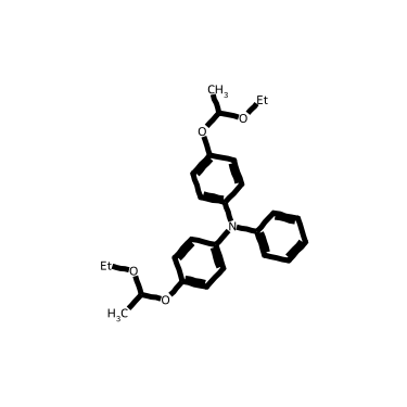 CCOC(C)Oc1ccc(N(c2ccccc2)c2ccc(OC(C)OCC)cc2)cc1